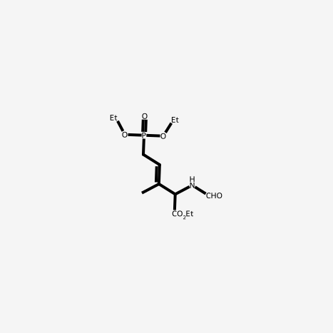 CCOC(=O)C(NC=O)/C(C)=C/CP(=O)(OCC)OCC